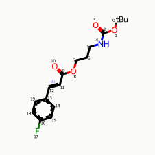 CC(C)(C)OC(=O)NCCCOC(=O)/C=C/c1ccc(F)cc1